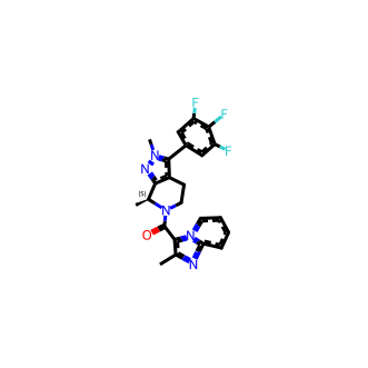 Cc1nc2ccccn2c1C(=O)N1CCc2c(nn(C)c2-c2cc(F)c(F)c(F)c2)[C@@H]1C